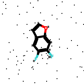 Fc1cc2ccoc2cc1F